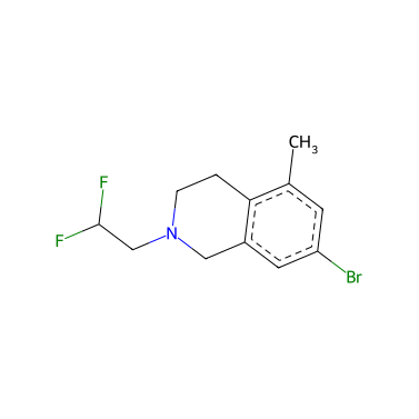 Cc1cc(Br)cc2c1CCN(CC(F)F)C2